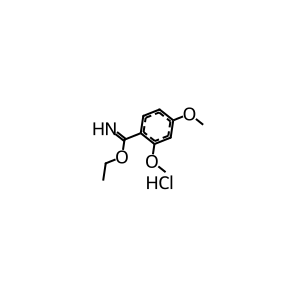 CCOC(=N)c1ccc(OC)cc1OC.Cl